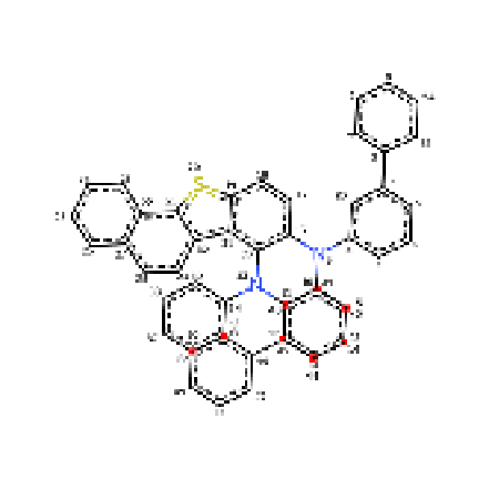 c1ccc(-c2cccc(N(c3ccccc3)c3ccc4sc5c6ccccc6ccc5c4c3N(c3ccccc3)c3ccccc3-c3ccccc3)c2)cc1